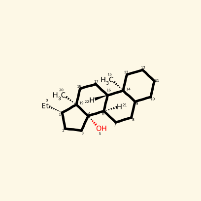 CC[C@H]1CC[C@]2(O)[C@@H]3CCC4CCCC[C@]4(C)[C@H]3CC[C@]12C